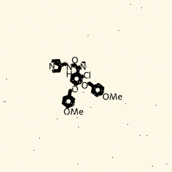 C/N=C(\C(=O)NCC12CCN(CC1)C2)c1ccc(OCc2ccc(OC)cc2)c(OCc2ccc(OC)cc2)c1Cl